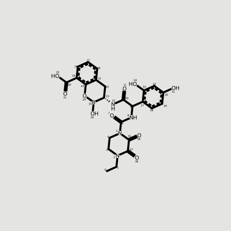 CCN1CCN(C(=O)NC(C(=O)N[C@H]2Cc3cccc(C(=O)O)c3OB2O)c2ccc(O)cc2O)C(=O)C1=O